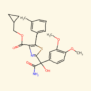 COc1ccc(C(O)(C(N)=O)c2nc(C(=O)OCC3CC3)c(-c3cccc(C)c3)s2)cc1OC